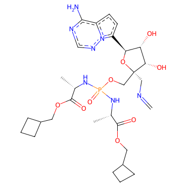 C=NC[C@]1(COP(=O)(N[C@@H](C)C(=O)OCC2CCC2)N[C@@H](C)C(=O)OCC2CCC2)O[C@@H](c2ccc3c(N)ncnn23)[C@H](O)[C@@H]1O